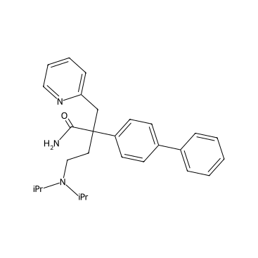 CC(C)N(CCC(Cc1ccccn1)(C(N)=O)c1ccc(-c2ccccc2)cc1)C(C)C